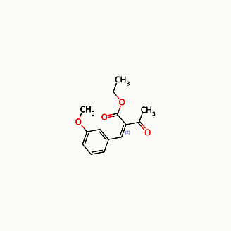 CCOC(=O)/C(=C\c1cccc(OC)c1)C(C)=O